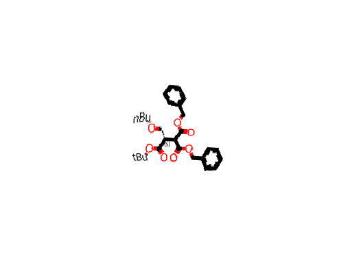 CCCCOC[C@@H](C(=O)OC(C)(C)C)C(C(=O)OCc1ccccc1)C(=O)OCc1ccccc1